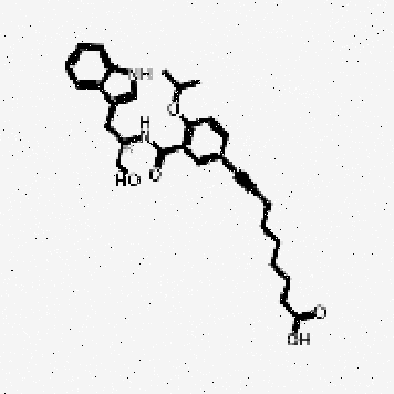 CC(C)Oc1ccc(C#CCCCCCCC(=O)O)cc1C(=O)N[C@@H](CO)Cc1c[nH]c2ccccc12